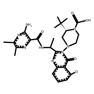 Cc1nc(N)c(C(=O)NC(C)c2nc3cccc(Cl)c3c(=O)n2N2CCN(C(=O)O)[C@@H](C(C)(C)C)C2)nc1C